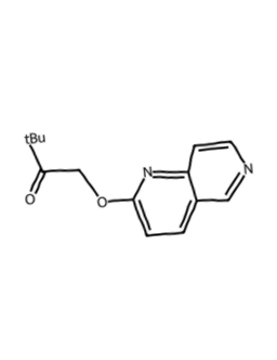 CC(C)(C)C(=O)COc1ccc2cnccc2n1